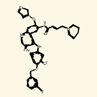 N#Cc1cnc2cc(O[C@H]3CCOC3)c(NC(=O)C=CCN3CCCCC3)cc2c1Nc1ccc(OCc2cccc(F)c2)c(Cl)c1